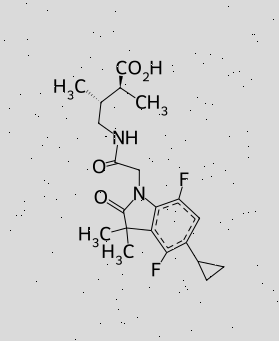 C[C@H](C(=O)O)[C@@H](C)CNC(=O)CN1C(=O)C(C)(C)c2c(F)c(C3CC3)cc(F)c21